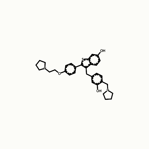 Oc1ccc2c(Cc3ccc(CN4CCCC4)c(O)c3)c(-c3ccc(OCCN4CCCC4)cc3)sc2c1